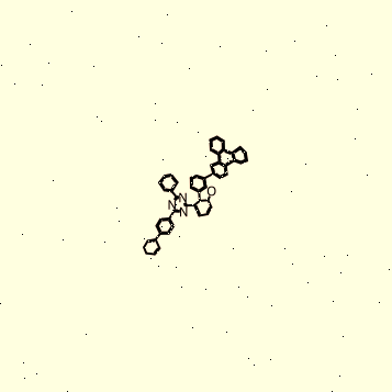 C1=CC2Oc3c(-c4ccc5c6ccccc6c6ccccc6c5c4)cccc3C2C(c2nc(-c3ccccc3)nc(-c3ccc(C4=CCCC=C4)cc3)n2)=C1